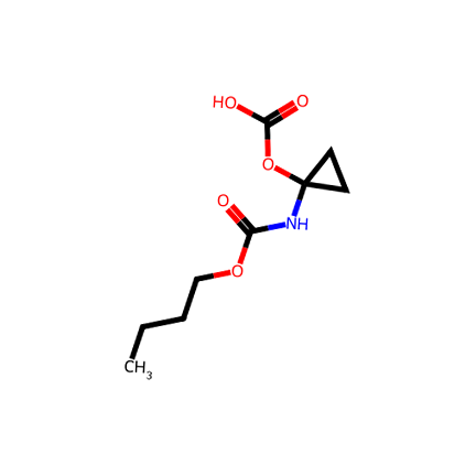 CCCCOC(=O)NC1(OC(=O)O)CC1